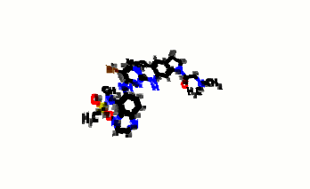 COc1cc2c(cc1Nc1ncc(Br)c(Nc3ccc4nccnc4c3N(C)S(C)(=O)=O)n1)N(C(=O)CN(C)C)CC2